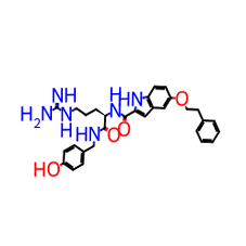 N=C(N)NCCC[C@@H](NC(=O)c1cc2cc(OCCc3ccccc3)ccc2[nH]1)C(=O)NCc1ccc(O)cc1